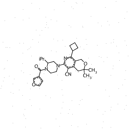 CC(C)C1CN(c2nc(C3CCC3)c3c(c2C#N)CC(C)(C)OC3)CCN1C(=O)c1ccoc1